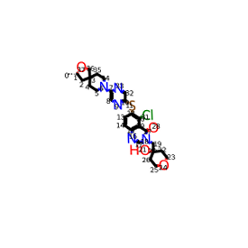 C[C@H]1CC2(CCN(c3cnc(Sc4ccc5ncn(CC6(O)CCOCC6)c(=O)c5c4Cl)cn3)CC2)CO1